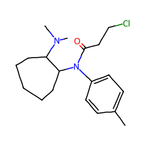 Cc1ccc(N(C(=O)CCCl)C2CCCCCC2N(C)C)cc1